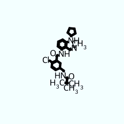 C/N=C\c1c(NC(=O)C2=C(Cl)C=CC(CNC(=O)C(C)(C)C)C2)cccc1NC1CCCC1